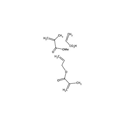 C=C(C)C(=O)OC.C=CC(=O)O.C=CCOC(=O)C(=C)C